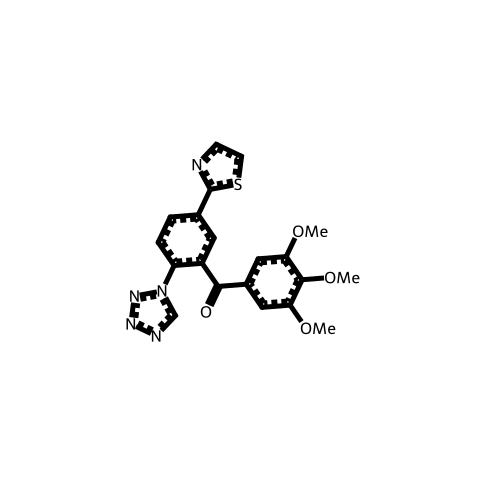 COc1cc(C(=O)c2cc(-c3nccs3)ccc2-n2cnnn2)cc(OC)c1OC